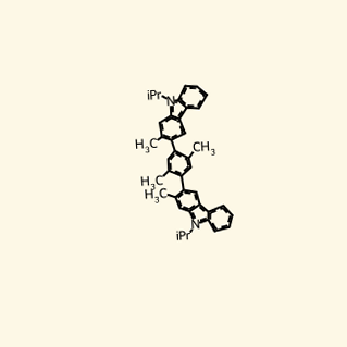 Cc1cc(-c2cc3c4ccccc4n(C(C)C)c3cc2C)c(C)cc1-c1cc2c3ccccc3n(C(C)C)c2cc1C